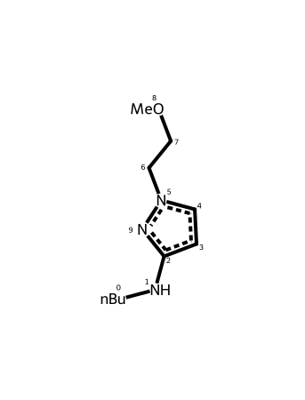 CCCCNc1ccn(CCOC)n1